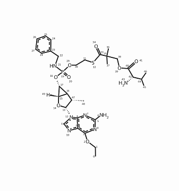 CCOc1nc(N)nc2c1ncn2[C@@H]1O[C@H]2C([C@H]2OP(=O)(NCc2ccccc2)OCCSC(=O)C(C)(C)COC(=O)[C@@H](N)C(C)C)[C@@H]1C